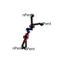 CCCCC/C=C\C/C=C\CCCCCCCCC1(CCCCCCCC/C=C\C/C=C\CCCCC)O[C@H]2CC(OC(=O)CCN(C)Cc3cc(CCN(C)C4C[C@@H]5OC(CCCCCCCC/C=C\C/C=C\CCCCC)(CCCCCCCC/C=C\C/C=C\CCCCC)O[C@@H]5C4)ccn3)C[C@H]2O1